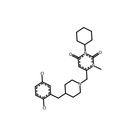 Cn1c(CN2CCC(Cc3cc(Cl)ccc3Cl)CC2)cc(=O)n(C2CCCCC2)c1=O